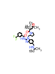 CCOC(C)(C)C=C(C#N)C(=O)N1CCCC1Cn1c(NC(=O)c2cccc(C(F)F)c2)nc2cc(CNC(C)C(C)(C)C)ccc21